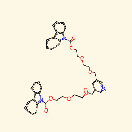 O=C(OCCOCCOCc1cncc(COCCOCCOC(=O)n2c3ccccc3c3ccccc32)c1)n1c2ccccc2c2ccccc21